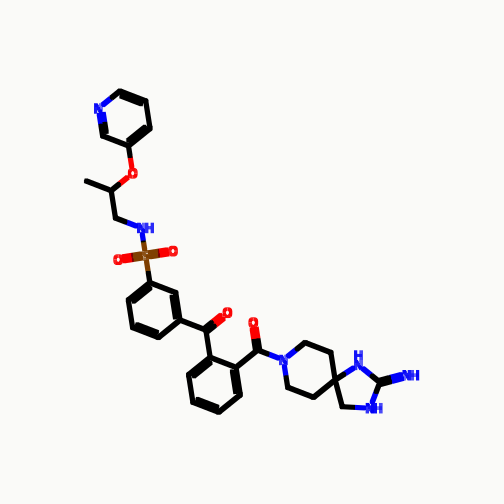 CC(CNS(=O)(=O)c1cccc(C(=O)c2ccccc2C(=O)N2CCC3(CC2)CNC(=N)N3)c1)Oc1cccnc1